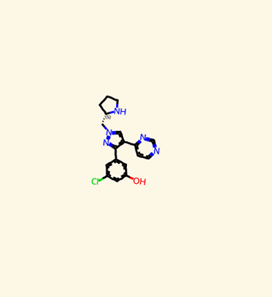 Oc1cc(Cl)cc(-c2nn(C[C@@H]3CCCN3)cc2-c2ccncn2)c1